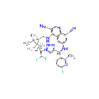 Cc1nc(F)ccc1[C@H](Nc1cc(C#N)c2ncc(C#N)c(NCC3C(C)(C)C3(C)C)c2c1)c1cn(C2(C(F)F)CC2)nn1